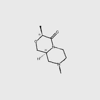 C[C@@H]1OC[C@@H]2CN(C)CCN2C1=O